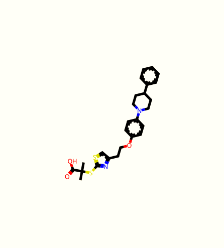 CC(C)(Sc1nc(CCOc2ccc(N3CCC(c4ccccc4)CC3)cc2)cs1)C(=O)O